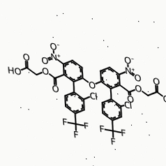 O=C(O)COC(=O)c1c([N+](=O)[O-])ccc(Oc2ccc([N+](=O)[O-])c(C(=O)OCC(=O)O)c2-c2ccc(C(F)(F)F)cc2Cl)c1-c1ccc(C(F)(F)F)cc1Cl